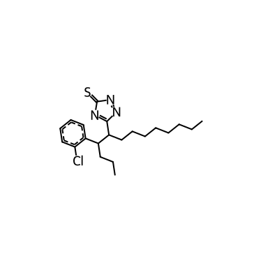 CCCCCCCCC(C1=NC(=S)N=N1)C(CCC)c1ccccc1Cl